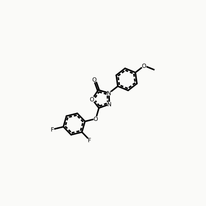 COc1ccc(-n2nc(Oc3ccc(F)cc3F)oc2=O)cc1